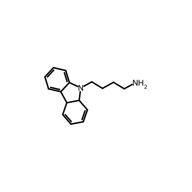 NCCCCN1c2ccccc2C2C=CC=CC21